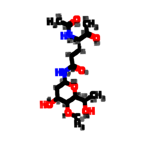 COC1C(O)CC(NC(=O)CC[C@H](NC(C)=O)C(C)=O)OC1[C@@H](C)O